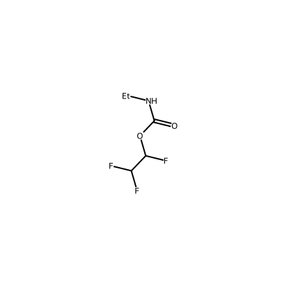 CCNC(=O)OC(F)C(F)F